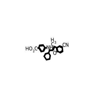 Cc1c(C(Nc2ccc(C(=O)O)cc2)C2CCCCC2)oc2ccc(C#N)cc12